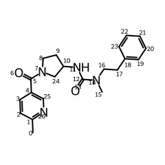 Cc1ccc(C(=O)N2CCC(NC(=O)N(C)CCc3ccccc3)C2)cn1